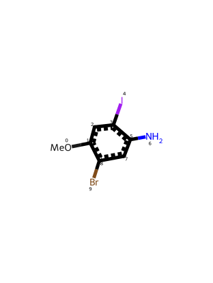 COc1cc(I)c(N)cc1Br